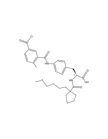 CSCCCCC1(C(=O)N[C@@H](Cc2ccc(NC(=O)c3cc([N+](=O)[O-])ccc3C)cc2)C(=O)O)CCCC1